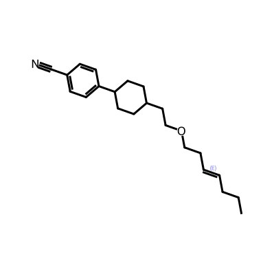 CCC/C=C/CCOCCC1CCC(c2ccc(C#N)cc2)CC1